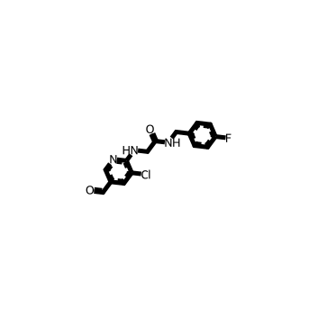 O=Cc1cnc(NCC(=O)NCc2ccc(F)cc2)c(Cl)c1